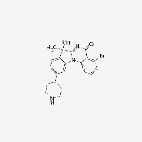 CC1(C)c2ccc(C3CCNCC3)cc2-n2c1nc(=O)c1c(Br)cccc12